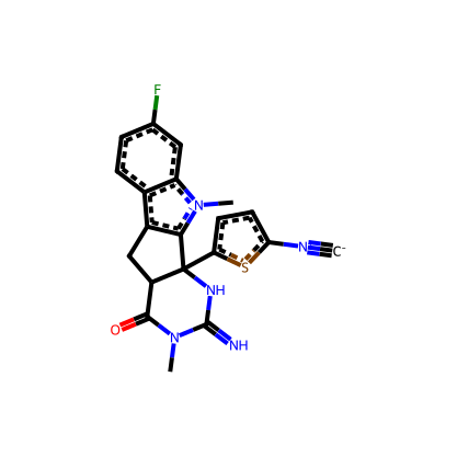 [C-]#[N+]c1ccc(C23NC(=N)N(C)C(=O)C2Cc2c3n(C)c3cc(F)ccc23)s1